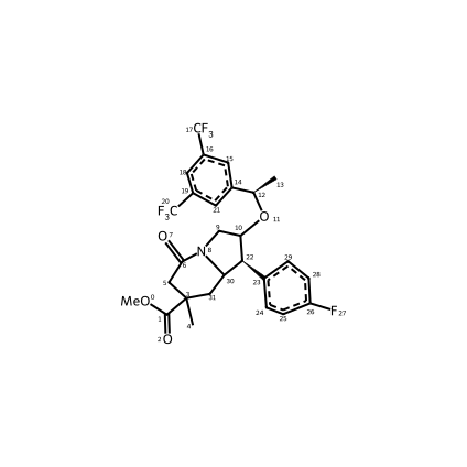 COC(=O)C1(C)CC(=O)N2CC(O[C@H](C)c3cc(C(F)(F)F)cc(C(F)(F)F)c3)[C@@H](c3ccc(F)cc3)C2C1